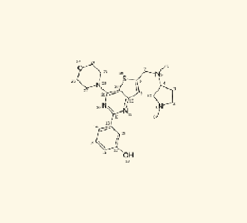 CN1CCC(N(C)Cc2cc3nc(-c4cccc(O)c4)nc(N4CCOCC4)c3s2)C1